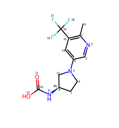 Cc1ncc(N2CC[C@@H](NC(=O)O)C2)cc1C(F)(F)F